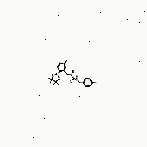 CCN(Cc1cc(C)ccc1B1OC(C)(C)C(C)(C)O1)C(=O)NCc1ccc(Cl)cc1